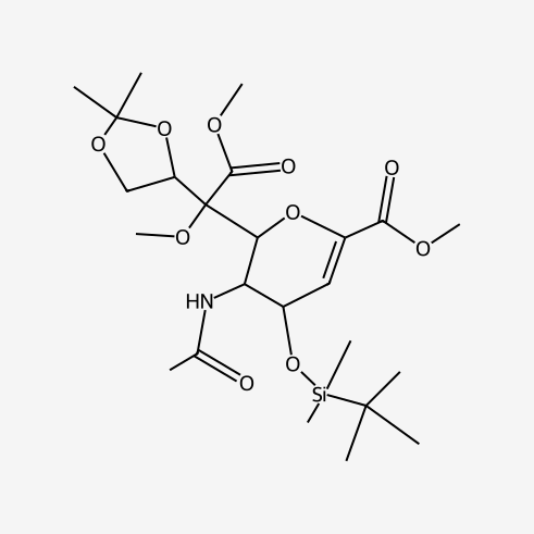 COC(=O)C1=CC(O[Si](C)(C)C(C)(C)C)C(NC(C)=O)C(C(OC)(C(=O)OC)C2COC(C)(C)O2)O1